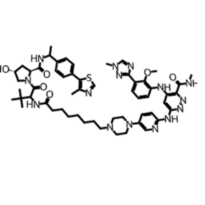 CNC(=O)c1nnc(Nc2ccc(N3CCN(CCCCCCCC(=O)NC(C(=O)N4C[C@H](O)C[C@H]4C(=O)NC(C)c4ccc(-c5scnc5C)cc4)C(C)(C)C)CC3)cn2)cc1Nc1cccc(-c2ncn(C)n2)c1OC